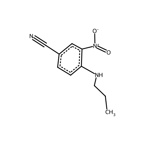 CCCNc1ccc(C#N)cc1[N+](=O)[O-]